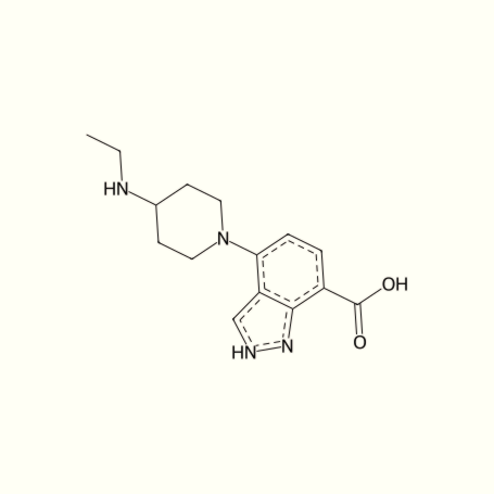 CCNC1CCN(c2ccc(C(=O)O)c3n[nH]cc23)CC1